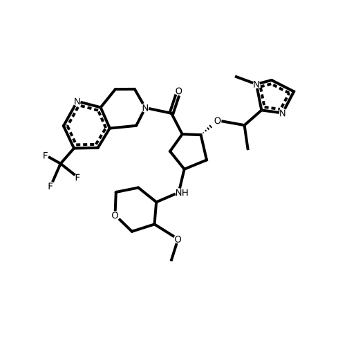 COC1COCCC1NC1CC(C(=O)N2CCc3ncc(C(F)(F)F)cc3C2)[C@H](OC(C)c2nccn2C)C1